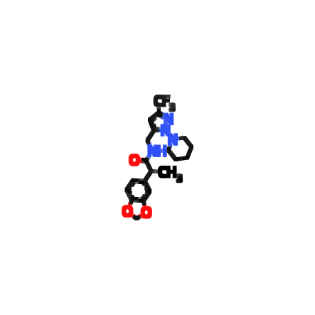 CC(C(=O)NCc1cc(C(F)(F)F)nn1N1CCCCC1)c1ccc2c(c1)OCO2